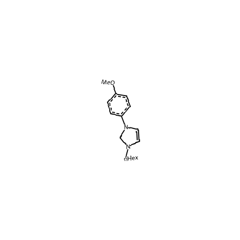 CCCCCCN1C=CN(c2ccc(OC)cc2)C1